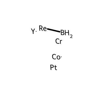 [BH2][Re].[Co].[Cr].[Pt].[Y]